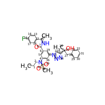 CCCN(c1cc(C(=O)N[C@H](C)c2ccc(F)cc2)cc(-n2cc(C(C)(O)Cc3ccccc3)nn2)c1)S(C)(=O)=O